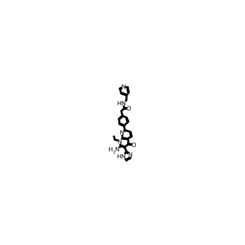 CCn1c(N)c(-c2ncc[nH]2)c(=O)c2ccc(-c3ccc(CC(=O)NCc4ccncc4)cc3)nc21